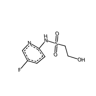 O=S(=O)(CCO)Nc1ccc(F)cn1